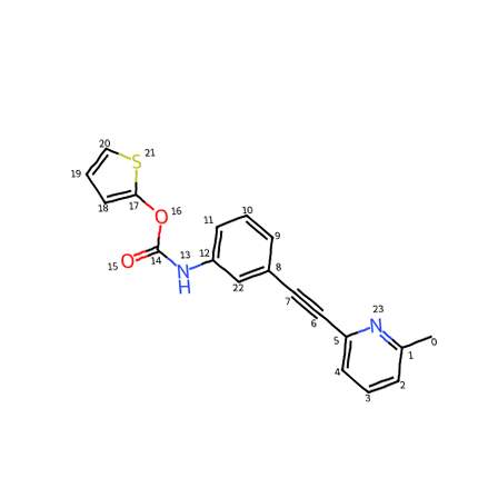 Cc1cccc(C#Cc2cccc(NC(=O)Oc3cccs3)c2)n1